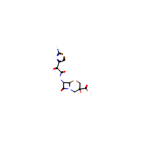 Nc1nc(C(=O)C(=O)NC2C(=O)N3CC(O)(C(=O)O)CS[C@H]23)cs1